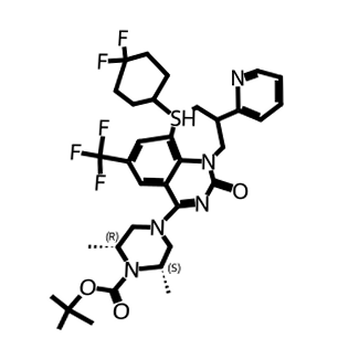 C[C@@H]1CN(c2nc(=O)n3c4c(cc(C(F)(F)F)cc24)[SH](C2CCC(F)(F)CC2)CC(c2ccccn2)C3)C[C@H](C)N1C(=O)OC(C)(C)C